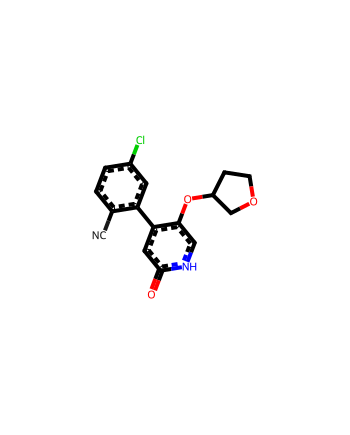 N#Cc1ccc(Cl)cc1-c1cc(=O)[nH]cc1OC1CCOC1